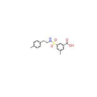 Cc1ccc(CCNS(=O)(=O)c2cc(C)cc(C(=O)O)c2)cc1